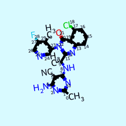 Cc1nc(N)c(C#N)c(N[C@H](C)c2nc3cccc(Cl)c3c(=O)n2-c2cncc(F)c2C)n1